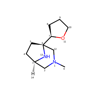 CN1C[C@H]2CC[C@@]([C@H]3CCCO3)(C1)N2